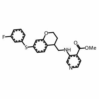 COC(=O)c1ccncc1NCC1CCOc2cc(Sc3cccc(F)c3)ccc21